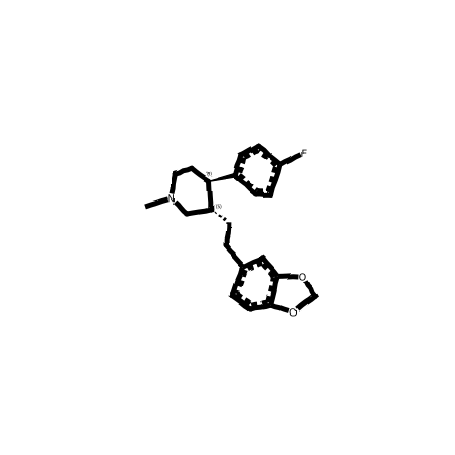 CN1CC[C@@H](c2ccc(F)cc2)[C@H](CCc2ccc3c(c2)OCO3)C1